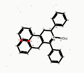 CCCCCCCC[PH]1=C(c2ccccc2)C(Cc2ccccc2)=C(c2ccccc2)CC1c1ccccc1